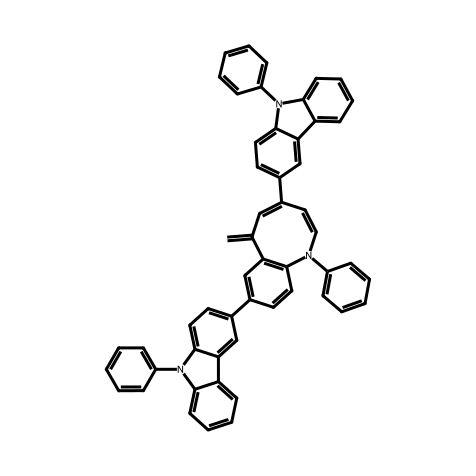 C=C1/C=C(c2ccc3c(c2)c2ccccc2n3-c2ccccc2)\C=C/N(c2ccccc2)c2ccc(-c3ccc4c(c3)c3ccccc3n4-c3ccccc3)cc21